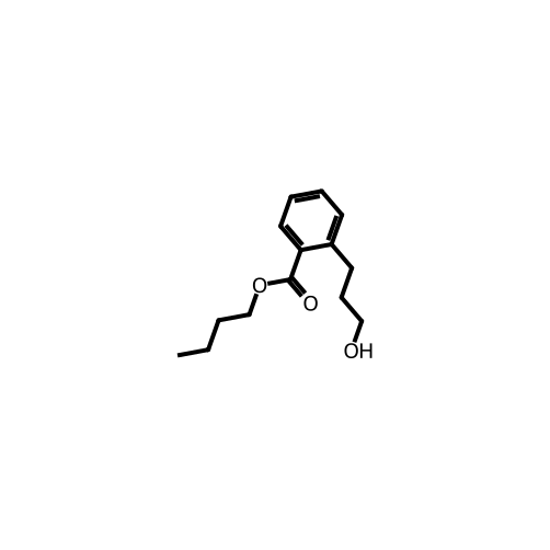 CCCCOC(=O)c1ccccc1CCCO